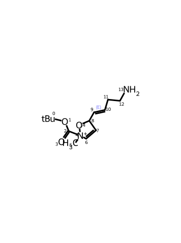 CC(C)(C)OC(=O)[N+]1(C)C=CC(/C=C/CCN)O1